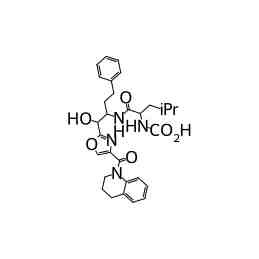 CC(C)CC(NC(=O)O)C(=O)NC(CCc1ccccc1)C(O)c1nc(C(=O)N2CCCc3ccccc32)co1